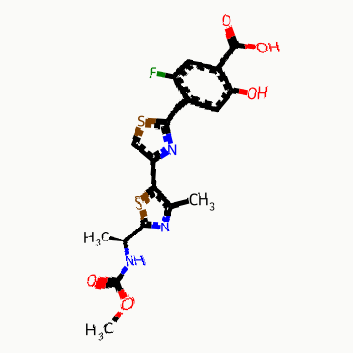 COC(=O)N[C@@H](C)c1nc(C)c(-c2csc(-c3cc(O)c(C(=O)O)cc3F)n2)s1